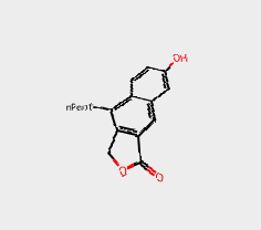 CCCCCc1c2c(cc3cc(O)ccc13)C(=O)OC2